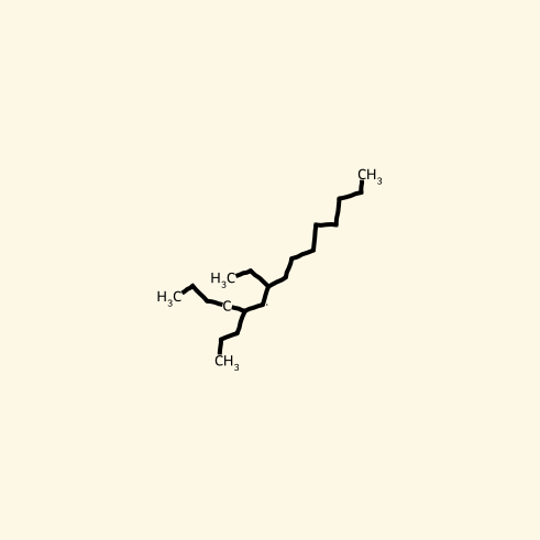 CCCCCCCCC([CH]C(CCC)CCCC)CC